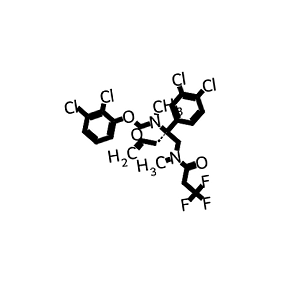 C=CC[C@@](CN(C)C(=O)CC(F)(F)F)(c1ccc(Cl)c(Cl)c1)N(C)C(=O)Oc1cccc(Cl)c1Cl